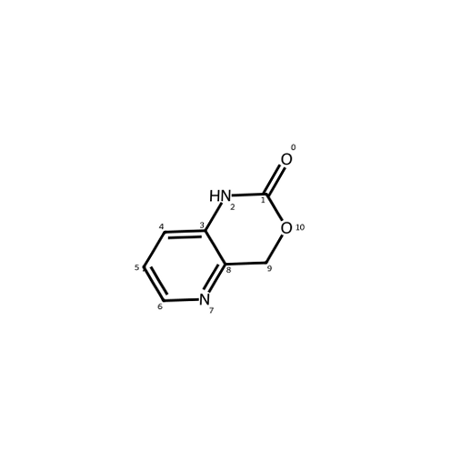 O=C1Nc2c[c]cnc2CO1